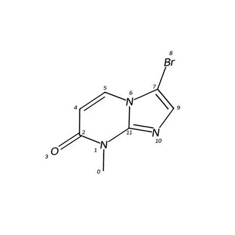 Cn1c(=O)ccn2c(Br)cnc12